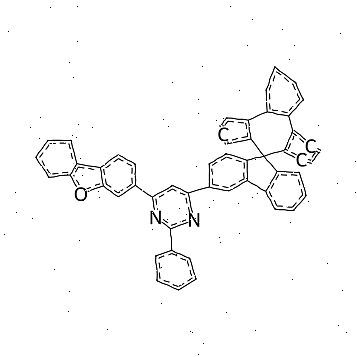 c1ccc(-c2nc(-c3ccc4c(c3)-c3ccccc3C43c4ccccc4-c4ccccc4-c4ccccc43)cc(-c3ccc4c(c3)oc3ccccc34)n2)cc1